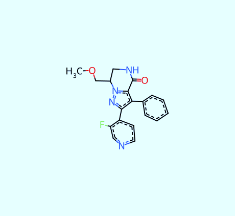 COCC1CNC(=O)c2c(-c3ccccc3)c(-c3ccncc3F)nn21